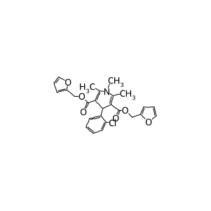 CC1=C(C(=O)OCc2ccco2)C(c2ccccc2Cl)C(C(=O)OCc2ccco2)=C(C)N1C